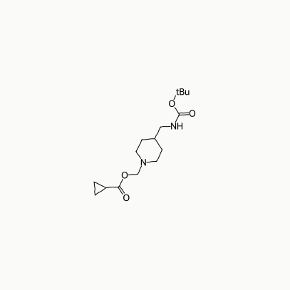 CC(C)(C)OC(=O)NCC1CCN(COC(=O)C2CC2)CC1